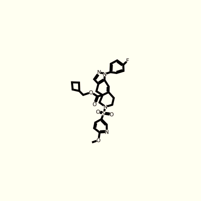 COc1ccc(S(=O)(=O)N2CCC3=Cc4c(cnn4-c4ccc(F)cc4)CC3(C(=O)OCC3CCC3)C2)cn1